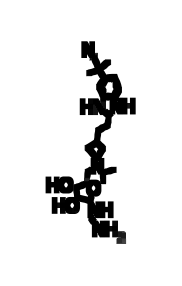 CC(C)N(C[C@H]1O[C@@H](NCN)[C@H](O)[C@@H]1O)C1CC(CCC2Nc3ccc(C(C)(C)C#N)cc3N2)C1